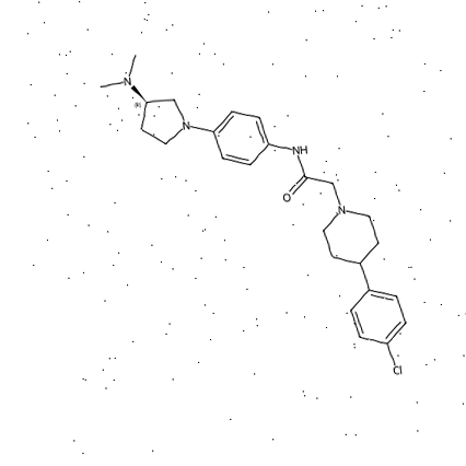 CN(C)[C@@H]1CCN(c2ccc(NC(=O)CN3CCC(c4ccc(Cl)cc4)CC3)cc2)C1